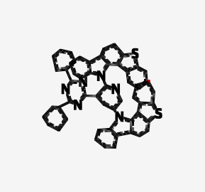 c1ccc(-c2nc(-c3ccccc3)nc(-c3cc(-n4c5ccccc5c5ccc6sc7ccccc7c6c54)cnc3-n3c4ccccc4c4ccc5sc6ccccc6c5c43)n2)cc1